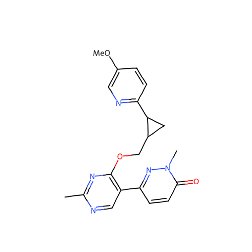 COc1ccc(C2CC2COc2nc(C)ncc2-c2ccc(=O)n(C)n2)nc1